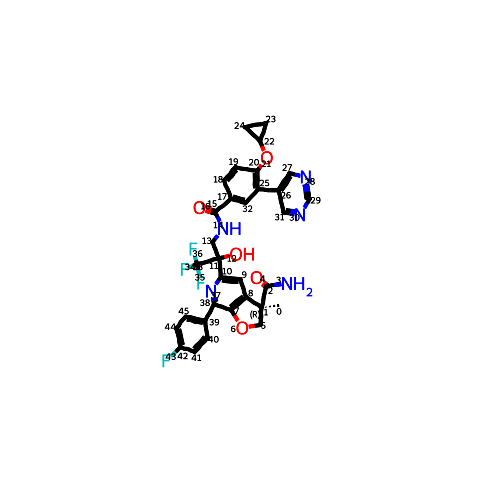 C[C@]1(C(N)=O)COc2c1cc(C(O)(CNC(=O)c1ccc(OC3CC3)c(-c3cncnc3)c1)C(F)(F)F)nc2-c1ccc(F)cc1